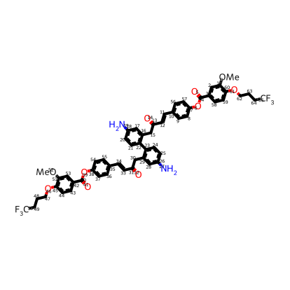 COc1cc(C(=O)Oc2ccc(/C=C/C(=O)Cc3cc(N)ccc3-c3ccc(N)cc3CC(=O)/C=C/c3ccc(OC(=O)c4ccc(OCCCC(F)(F)F)c(OC)c4)cc3)cc2)ccc1OCCCC(F)(F)F